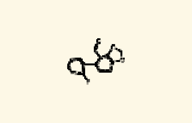 O=Cc1c(-c2ccccc2F)ccc2c1OCO2